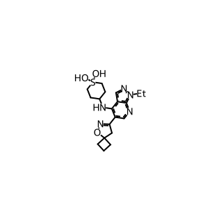 CCn1ncc2c(NC3CCS(O)(O)CC3)c(C3=NOC4(CCC4)C3)cnc21